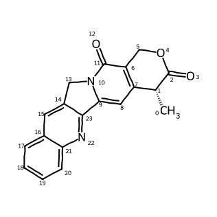 C[C@H]1C(=O)OCc2c1cc1n(c2=O)Cc2cc3ccccc3nc2-1